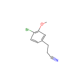 COc1cc(CCC#N)ccc1Br